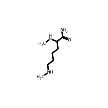 BC(=O)C(CCCCNC)NC